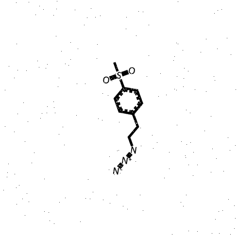 CS(=O)(=O)c1ccc(CCN=[N+]=[N-])cc1